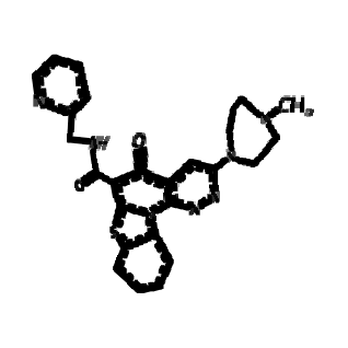 CN1CCN(c2cc3c(=O)c(C(=O)NCc4ccccn4)c4sc5ccccc5n4c3nn2)CC1